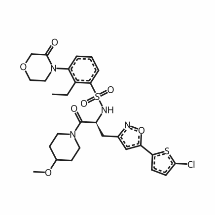 CCc1c(N2CCOCC2=O)cccc1S(=O)(=O)N[C@@H](Cc1cc(-c2ccc(Cl)s2)on1)C(=O)N1CCC(OC)CC1